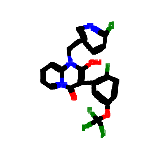 O=c1c(-c2cc(OC(F)(F)F)ccc2F)c(O)n(Cc2ccc(Cl)nc2)c2cccc[n+]12